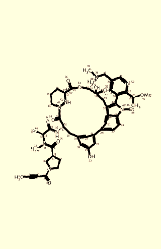 CC#CC(=O)N1CC[C@H](C(=O)N(C)[C@H](C(=O)N[C@H]2Cc3cc(O)cc(c3)-c3ccc4c(c3)c(c(-c3cc(CN(C)C)cnc3[C@H](C)OC)n4CC)CC(C)(C)COC(=O)[C@@H]3CCCN(N3)C2=O)C(C)C)C1